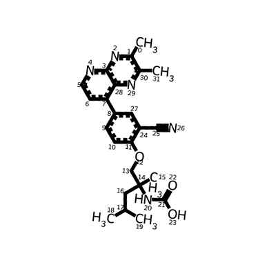 Cc1nc2nccc(-c3ccc(OCC(C)(CC(C)C)NC(=O)O)c(C#N)c3)c2nc1C